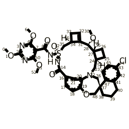 COc1nc(OC)c(C(=O)NS2(=O)=NC(=O)c3ccc4c(c3)N(C[C@@H]3CC[C@H]3[C@@H](OC)C3=CC[C@@H]3C2)C[C@@]2(CCCc3cc(Cl)ccc32)CO4)c(OC)n1